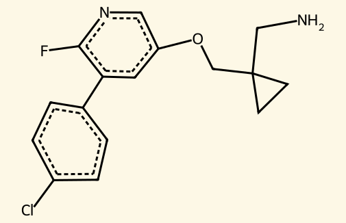 NCC1(COc2cnc(F)c(-c3ccc(Cl)cc3)c2)CC1